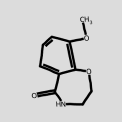 COc1cccc2c1OCCNC2=O